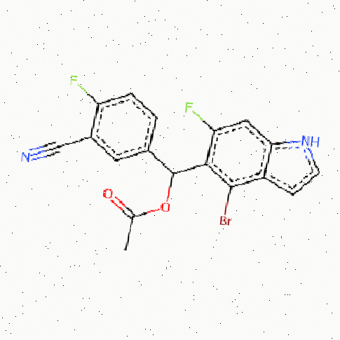 CC(=O)OC(c1ccc(F)c(C#N)c1)c1c(F)cc2[nH]ccc2c1Br